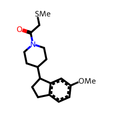 COc1ccc2c(c1)C(C1CCN(C(=O)CSC)CC1)CC2